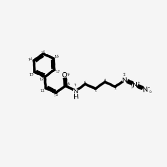 [N-]=[N+]=NCCCCNC(=O)/C=C\c1ccccc1